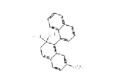 COc1ccc2c(c1)=C(c1cccc3ccccc13)C(N)(O)CC=2